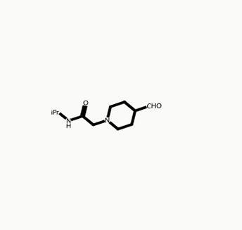 CC(C)NC(=O)CN1CCC(C=O)CC1